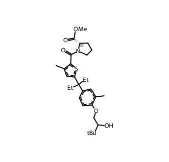 CCC(CC)(c1ccc(OCC(O)C(C)(C)C)c(C)c1)c1cc(C)c(C(=O)N2CCC[C@H]2C(=O)OC)s1